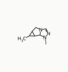 CC1C2CN3C=NN(I)C3C12